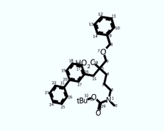 CN(CCCC(COCc1ccccc1)(Cc1cccc(-c2ccccc2)c1)C(=O)O)C(=O)OC(C)(C)C